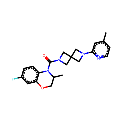 Cc1ccnc(N2CC3(CN(C(=O)N4c5ccc(F)cc5OCC4C)C3)C2)c1